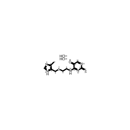 Cc1nc[nH]c1CSCCNC1=NC(=S)N=CC1=O.Cl.Cl